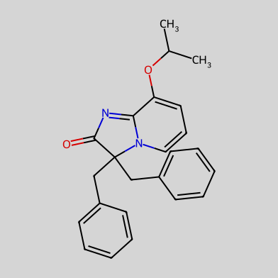 CC(C)OC1=CC=CN2C1=NC(=O)C2(Cc1ccccc1)Cc1ccccc1